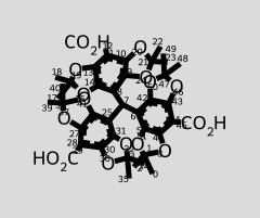 CC1(C)Oc2c(c(C(c3c4c(c(C(=O)O)c5c3OC(C)(C)O5)OC(C)(C)O4)c3c4c(c(C(=O)O)c5c3OC(C)(C)O5)OC(C)(C)O4)c3c(c2C(=O)O)OC(C)(C)O3)O1